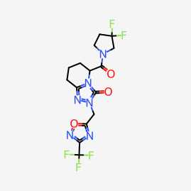 O=C(C1CCCc2nn(Cc3nc(C(F)(F)F)no3)c(=O)n21)N1CCC(F)(F)C1